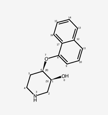 O[C@H]1CNCC[C@H]1Oc1cccc2ccccc12